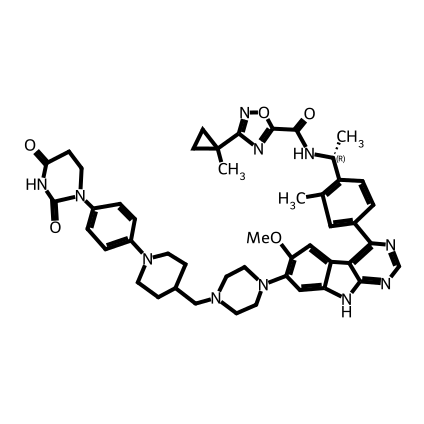 COc1cc2c(cc1N1CCN(CC3CCN(c4ccc(N5CCC(=O)NC5=O)cc4)CC3)CC1)[nH]c1ncnc(-c3ccc([C@@H](C)NC(=O)c4nc(C5(C)CC5)no4)c(C)c3)c12